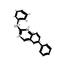 [c]1cc(-c2ccccc2)cc2cnc(Nc3ccccc3)nc12